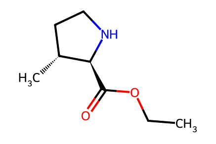 CCOC(=O)[C@@H]1NCC[C@H]1C